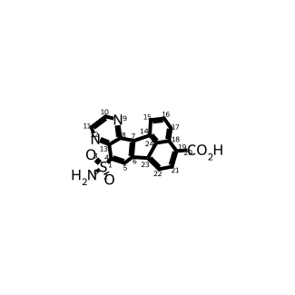 NS(=O)(=O)c1cc2c(c3nccnc13)-c1cccc3c(C(=O)O)ccc-2c13